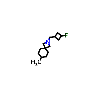 CC1CCC2(CC1)CN(CC1CC(F)C1)C2